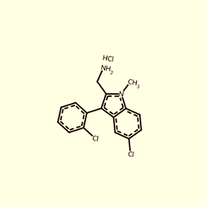 Cl.Cn1c(CN)c(-c2ccccc2Cl)c2cc(Cl)ccc21